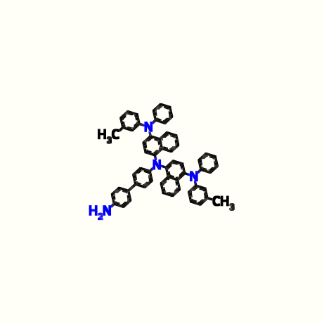 Cc1cccc(N(c2ccccc2)c2ccc(N(c3ccc(-c4ccc(N)cc4)cc3)c3ccc(N(c4ccccc4)c4cccc(C)c4)c4ccccc34)c3ccccc23)c1